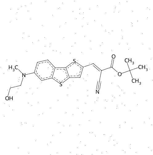 CN(CCO)c1ccc2c(c1)sc1cc(/C=C(\C#N)C(=O)OC(C)(C)C)sc12